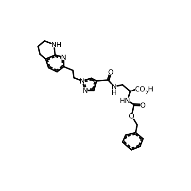 O=C(N[C@@H](CNC(=O)c1cnn(CCc2ccc3c(n2)NCCC3)c1)C(=O)O)OCc1ccccc1